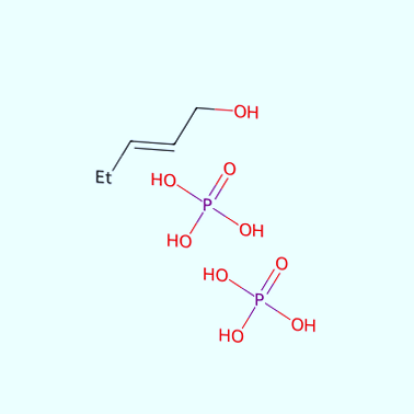 CCC=CCO.O=P(O)(O)O.O=P(O)(O)O